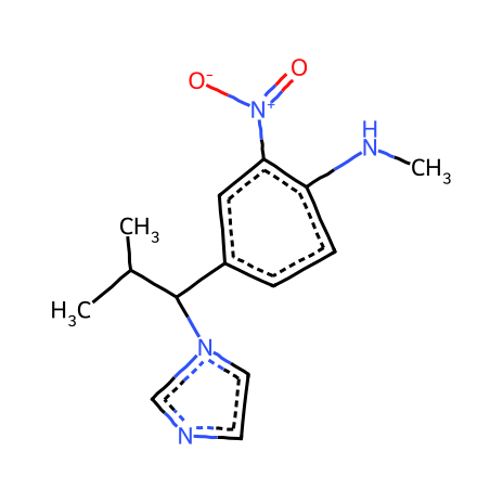 CNc1ccc(C(C(C)C)n2ccnc2)cc1[N+](=O)[O-]